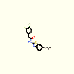 O=C(Cc1ccc(Cl)c(F)c1)Nc1nc2ccc(C(=O)O)cc2s1